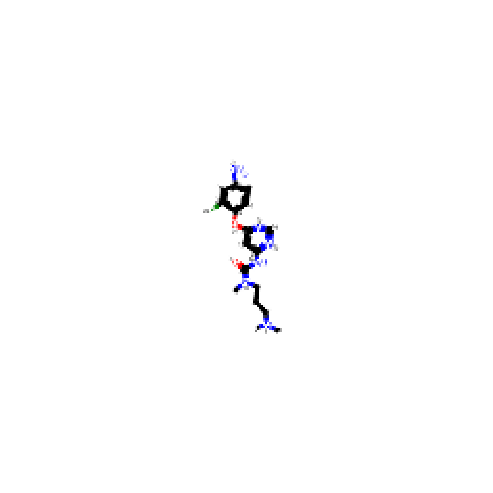 CN(C)CCCN(C)C(=O)Nc1cc(Oc2ccc(N)cc2F)ncn1